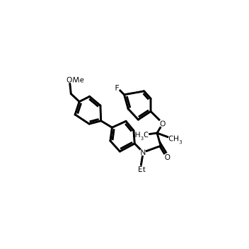 CCN(C(=O)C(C)(C)Oc1ccc(F)cc1)c1ccc(-c2ccc(COC)cc2)cc1